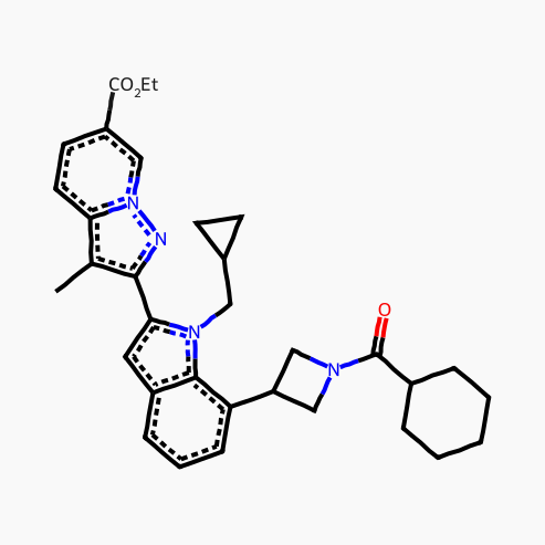 CCOC(=O)c1ccc2c(C)c(-c3cc4cccc(C5CN(C(=O)C6CCCCC6)C5)c4n3CC3CC3)nn2c1